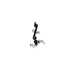 COc1ccc(C2CCN(CCCNC(=O)CC=Cc3ccc(F)cc3)CC2)cc1OC